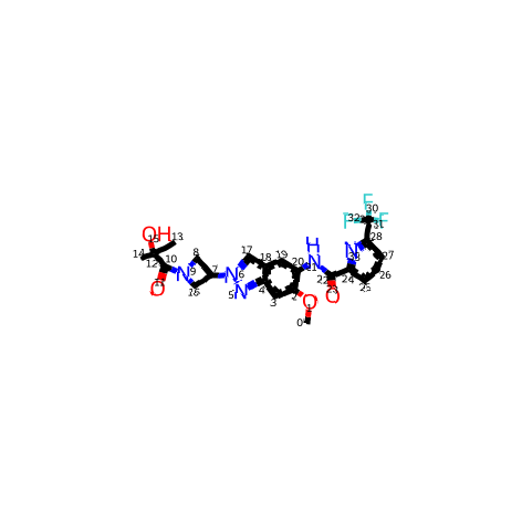 COc1cc2nn(C3CN(C(=O)C(C)(C)O)C3)cc2cc1NC(=O)c1cccc(C(F)(F)F)n1